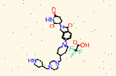 O=C(O)C(F)(F)F.O=C1CCC(N2Cc3cc(N4CCC(CN5CCN(CC6CCNCC6)CC5)CC4)ccc3C2=O)C(=O)N1